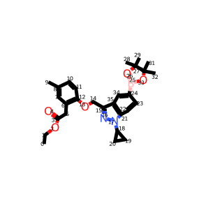 CCOC(=O)Cc1cc(C)ccc1OCc1nn(C2CC2)c2ccc(B3OC(C)(C)C(C)(C)O3)cc12